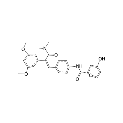 COc1cc(OC)cc(C(=Cc2ccc(NC(=O)c3cccc(O)c3)cc2)C(=O)N(C)C)c1